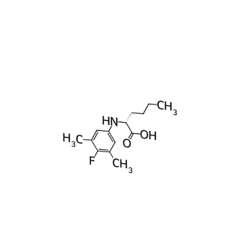 CCCC[C@@H](Nc1cc(C)c(F)c(C)c1)C(=O)O